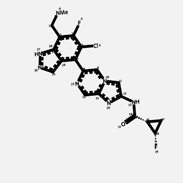 CNCc1c(F)c(Cl)c(-c2cn3cc(NC(=O)[C@@H]4C[C@@H]4F)nc3cn2)c2cn[nH]c12